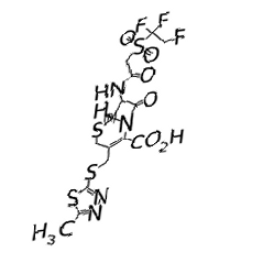 Cc1nnc(SCC2=C(C(=O)O)N3C(=O)C(NC(=O)CS(=O)(=O)C(F)(F)CF)[C@H]3SC2)s1